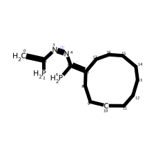 C=C(P)/N=N\C(P)=C1CCCCCCCCCC1